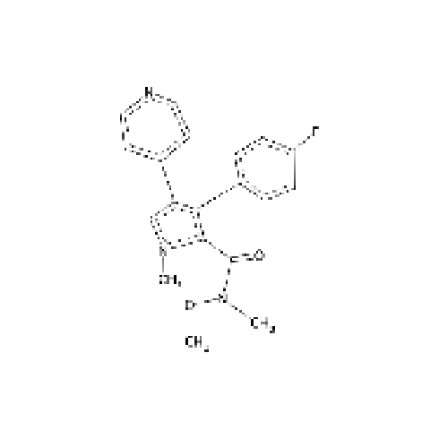 CON(C)C(=O)c1c(-c2ccc(F)cc2)c(-c2ccncc2)cn1C